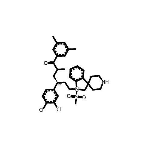 Cc1cc(C)cc(C(=O)C(C)C[C@@H](CC[N+]2(S(C)(=O)=O)CC3(CCNCC3)c3ccccc32)c2ccc(Cl)c(Cl)c2)c1